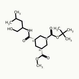 COC(=O)[C@@H]1C[C@H](C(=O)NC(CO)CC(C)C)CN(C(=O)OC(C)(C)C)C1